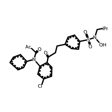 CC(=O)C(=O)N(c1ccccc1)c1cc(Cl)ccc1C(=O)CCc1ccc(S(=O)(=O)N(O)CC(C)C)cc1